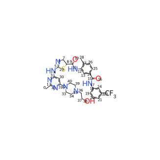 Cc1nc(NC2=NCC(C(=O)Nc3cc(C(=O)Nc4cccc(C(F)(F)F)c4)ccc3C)S2)cc(N2CCN(CCO)CC2)n1